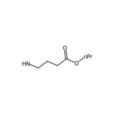 CCCOC(=O)CCC[NH]